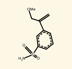 C=C(COC)c1cccc(S(N)(=O)=O)c1